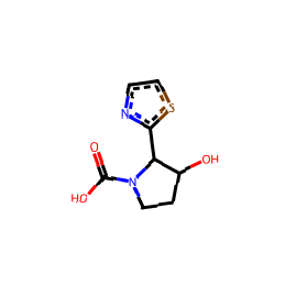 O=C(O)N1CCC(O)C1c1nccs1